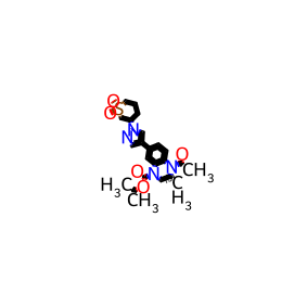 CC(=O)N1c2ccc(-c3cnn(C4CCCS(=O)(=O)C4)c3)cc2N(C(=O)OC(C)C)C[C@@H]1C